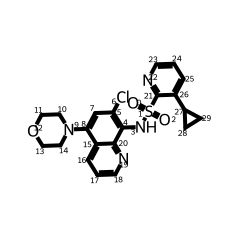 O=S(=O)(Nc1c(Cl)cc(N2CCOCC2)c2cccnc12)c1ncccc1C1CC1